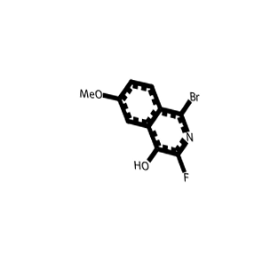 COc1ccc2c(Br)nc(F)c(O)c2c1